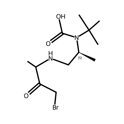 CC(NC[C@H](C)N(C(=O)O)C(C)(C)C)C(=O)CBr